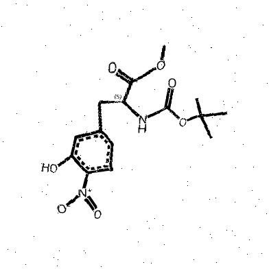 COC(=O)[C@H](Cc1ccc([N+](=O)[O-])c(O)c1)NC(=O)OC(C)(C)C